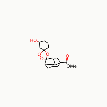 COC(=O)C12CC3CC(C1)C1(OOC4(CCCC(O)C4)O1)C(C3)C2